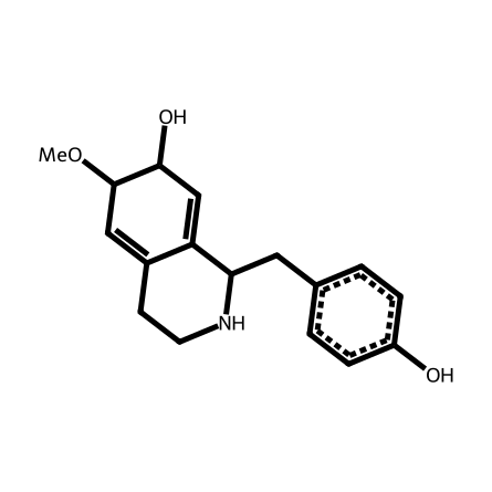 COC1C=C2CCNC(Cc3ccc(O)cc3)C2=CC1O